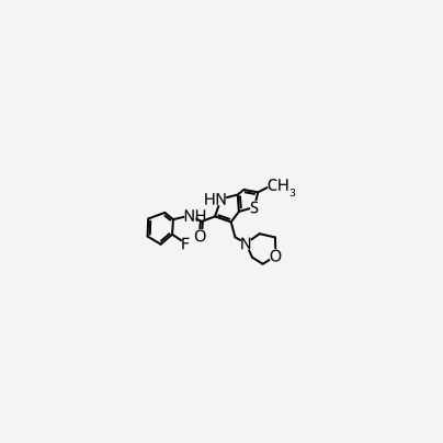 Cc1cc2[nH]c(C(=O)Nc3ccccc3F)c(CN3CCOCC3)c2s1